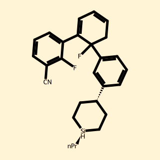 CCC[Si@H]1CC[C@H](c2cccc(C3(F)CC=CC=C3c3cccc(C#N)c3F)c2)CC1